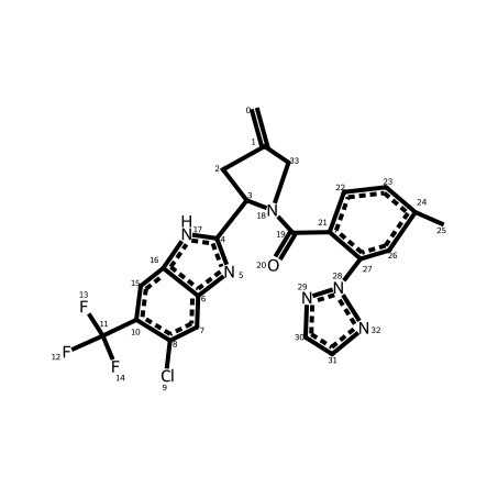 C=C1CC(c2nc3cc(Cl)c(C(F)(F)F)cc3[nH]2)N(C(=O)c2ccc(C)cc2-n2nccn2)C1